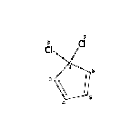 ClC1(Cl)C=CC=C1